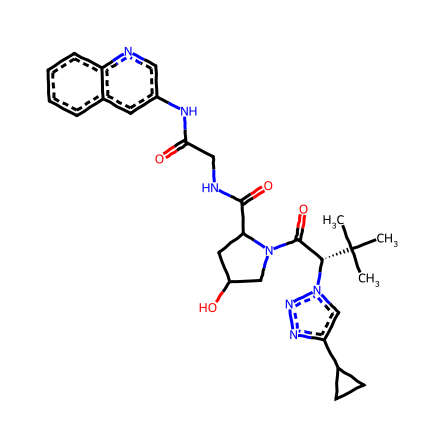 CC(C)(C)[C@@H](C(=O)N1CC(O)CC1C(=O)NCC(=O)Nc1cnc2ccccc2c1)n1cc(C2CC2)nn1